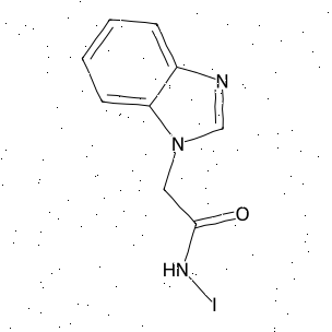 O=C(Cn1cnc2ccccc21)NI